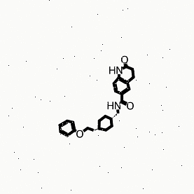 O=C1CCc2cc(C(=O)NC[C@H]3CC[C@@H](CCOc4ccccc4)CC3)ccc2N1